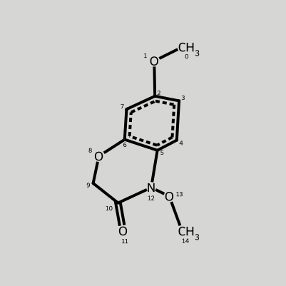 COc1ccc2c(c1)OCC(=O)N2OC